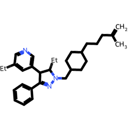 C=C(C)CCCC1CCC(CN2N=C(c3ccccc3)C(c3cncc(CC)c3)C2CC)CC1